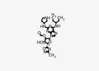 CCC(CC)Nc1nc(N[C@@H]2CCNC2)nc2c1ncn2[C@@H]1O[C@H](c2nc(C)no2)[C@@H](O)[C@H]1OC=O